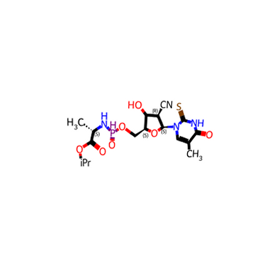 Cc1cn([C@H]2O[C@@H](CO[PH](=O)N[C@@H](C)C(=O)OC(C)C)C(O)[C@H]2C#N)c(=S)[nH]c1=O